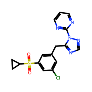 O=S(=O)(c1cc(Cl)cc(Cc2ncnn2-c2ncccn2)c1)C1CC1